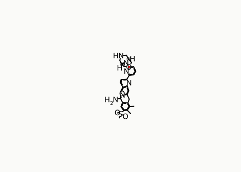 Cc1c(S(C)(=O)=O)cc(C(N)=O)c(Cc2cc3nc(-c4cccc(N5[C@@H]6CNC[C@H]5COC6)n4)ccc3cn2)c1C